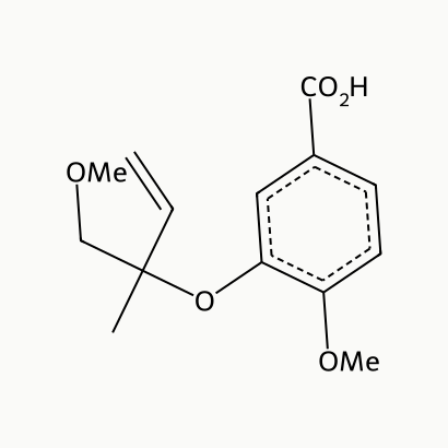 C=CC(C)(COC)Oc1cc(C(=O)O)ccc1OC